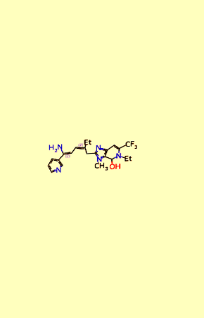 CC/C(=C/C=C(\N)c1cccnc1)Cc1nc2c(n1C)C(O)N(CC)C(C(F)(F)F)=C2